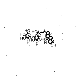 C[C@H](CC[C@@H](O[C@@H]1O[C@H](CO[C@@H]2OC(CO)[C@@H](O)[C@H](O)[C@H]2O)[C@@H](O)[C@H](O)[C@H]1O)C(C)(C)O)C1CC[C@@]2(C)C3CC=C4C(CC[C@H](O)C4(C)C)[C@]3(C)[C@H](O)C[C@]12C